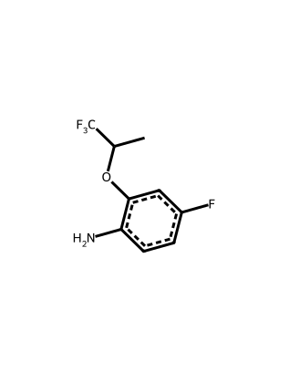 CC(Oc1cc(F)ccc1N)C(F)(F)F